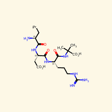 CC(C)C[C@H](N)C(=O)N[C@@H](CC(=O)O)C(=O)N[C@@H](CCCNC(=N)N)C(=O)NC(C)(C)C(=O)O